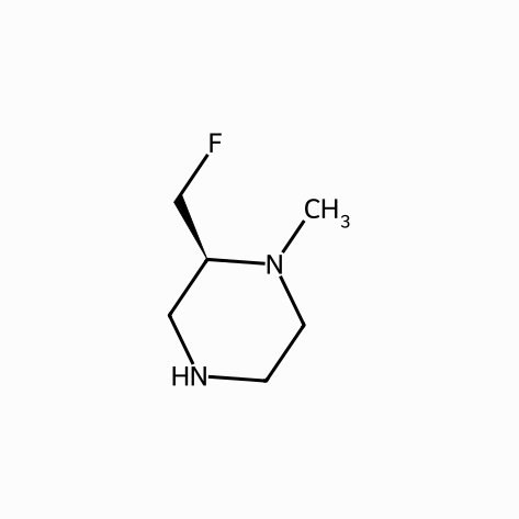 CN1CCNC[C@H]1CF